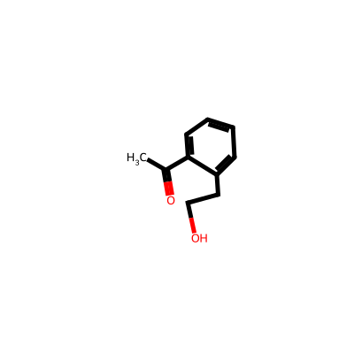 CC(=O)c1ccccc1CCO